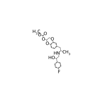 COC(=O)OC1COc2cc(CC(C)NCC(O)c3ccc(F)cc3)ccc2O1